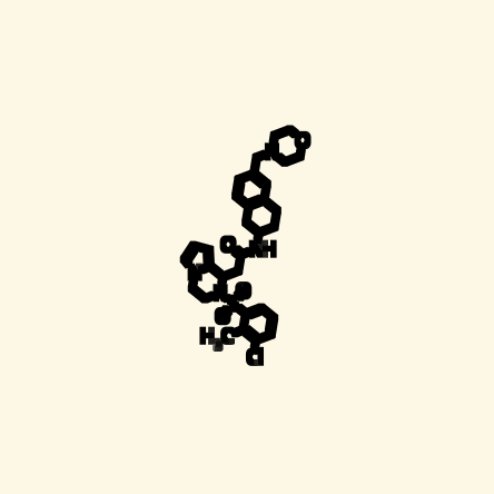 Cc1c(Cl)cccc1S(=O)(=O)N1CCn2cccc2C1CC(=O)NC1CCc2cc(CN3CCOCC3)ccc2C1